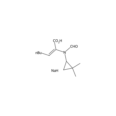 CCCCC=C(C(=O)O)N(C=O)C1CC1(C)C.[NaH]